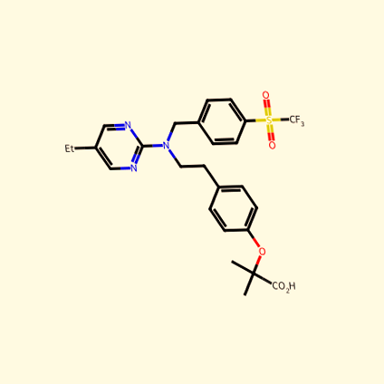 CCc1cnc(N(CCc2ccc(OC(C)(C)C(=O)O)cc2)Cc2ccc(S(=O)(=O)C(F)(F)F)cc2)nc1